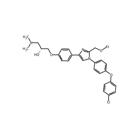 CCOCc1nc(-c2ccc(OC[C@H](O)CN(C)C)cc2)cn1-c1ccc(Oc2ccc(Cl)cc2)cc1